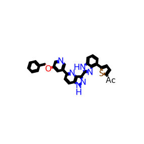 CC(=O)c1ccc(-c2cccc3[nH]c(-c4n[nH]c5ccc(-c6cncc(OCc7ccccc7)c6)nc45)nc23)s1